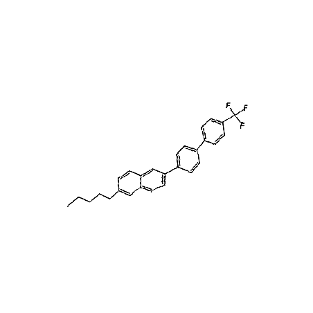 CCCCCc1ccc2cc(-c3ccc(-c4ccc(C(F)(F)F)cc4)cc3)ccc2c1